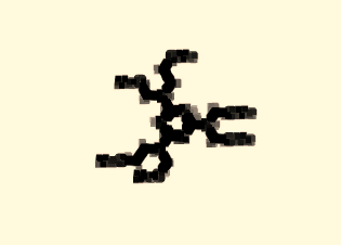 COCCN(COC)c1nc(N(CCOC)COC)nc(N(COC)COC)n1